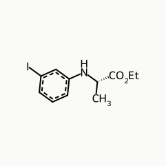 CCOC(=O)[C@H](C)Nc1cccc(I)c1